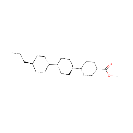 CCC[C@H]1CC[C@H]([C@H]2CC[C@H]([C@H]3CC[C@@H](C(=O)OC)CC3)CC2)CC1